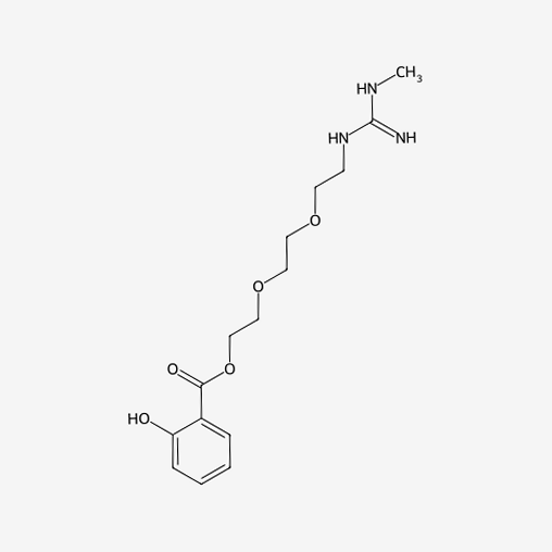 CNC(=N)NCCOCCOCCOC(=O)c1ccccc1O